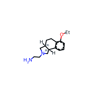 CCOc1cccc2c1CC[C@H]1CN(CCN)C[C@@H]21